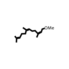 COC/C=C(/C)CC/C=C(/C)CCC=C(C)C